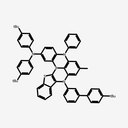 Cc1cc2c3c(c1)N(c1cccc(-c4ccc(C(C)(C)C)cc4)c1)c1c(sc4ccccc14)B3c1cc(N(c3ccc(C(C)(C)C)cc3)c3ccc(C(C)(C)C)cc3)ccc1N2c1ccccc1